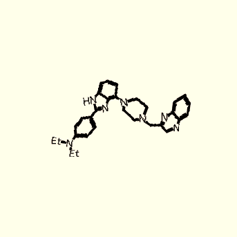 CCN(CC)c1ccc(-c2nc3c(N4CCN(Cc5cnc6ccccc6n5)CC4)cccc3[nH]2)cc1